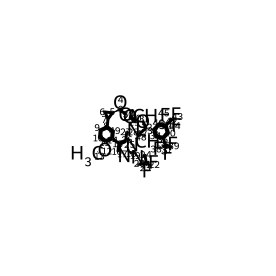 CCOC(=O)[C@@H]1CC1c1ccc(OC)c(-c2cnc(N3CC(F)(F)C3)nc2CN2C(=O)O[C@H](c3cc(C(F)(F)F)cc(C(F)(F)F)c3)[C@@H]2C)c1